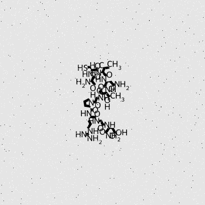 CC[C@H](C)[C@H](NC(=O)[C@H](CS)NC(=O)[C@@H](N)CO)C(=O)N[C@@H](CC(N)=O)C(=O)N[C@H](C(=O)NCC(=O)N1CCC[C@H]1C(=O)N[C@@H](CCCNC(=N)N)C(=O)NCC(=O)N[C@@H](CC(=O)O)C(N)=O)[C@@H](C)O